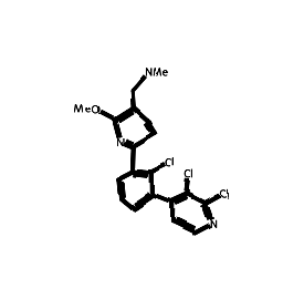 CNCc1ccc(-c2cccc(-c3ccnc(Cl)c3Cl)c2Cl)nc1OC